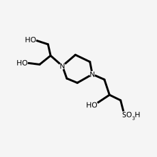 O=S(=O)(O)CC(O)CN1CCN(C(CO)CO)CC1